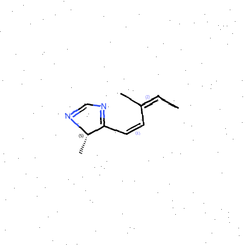 C/C=C(C)\C=C/C1=NC=N[C@H]1C